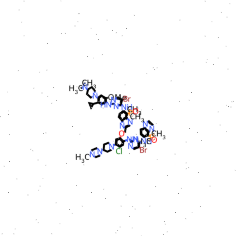 COc1cc(N2CCC(N(C)C)CC2)c(C2CC2)cc1Nc1ncc(Br)c(Nc2ccc3nc(COc4cc(N5CCC(N6CCN(C)CC6)CC5)c(Cl)cc4Nc4ncc(Br)c(Nc5ccc6nccnc6c5P(C)(C)=O)n4)cnc3c2P(C)(C)=O)n1